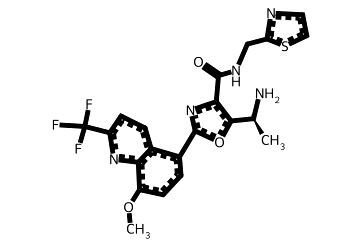 COc1ccc(-c2nc(C(=O)NCc3nccs3)c([C@H](C)N)o2)c2ccc(C(F)(F)F)nc12